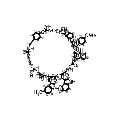 COc1ccc(C[C@@H]2NC(=O)[C@H](Cc3cnc[nH]3)NC(=O)CNC(=O)[C@H](Cc3c[nH]c4ccc(F)cc34)CC(=O)[C@H](Cc3cn(I)c4ccc(C)cc34)NC(=O)[C@@H](C)NC(=O)CCCCC(=O)NCc3ccc(cc3)CC(=O)NCCN(C)C(=O)[C@]3(C)CCCN3C2=O)cc1